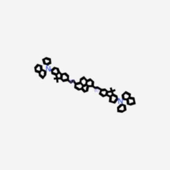 CC1(C)c2cc(/C=C/c3ccc4ccc5c(/C=C/c6ccc7c(c6)C(C)(C)c6cc(N(c8ccccc8)c8cccc9ccccc89)ccc6-7)ccc6ccc3c4c65)ccc2-c2ccc(N(c3ccccc3)c3cccc4ccccc34)cc21